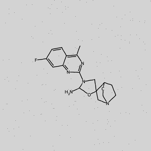 Cc1nc(N2CC3(CN4CCC3CC4)OC2N)nc2cc(F)ccc12